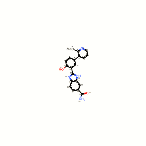 COc1ncccc1-c1ccc(O)c(-c2nc3ccc(C(N)=O)cc3[nH]2)c1